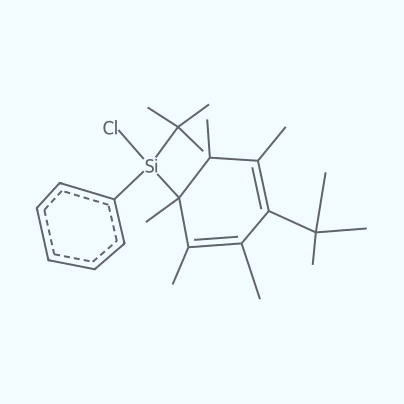 CC1=C(C)C(C)([Si](Cl)(c2ccccc2)C(C)(C)C)C(C)C(C)=C1C(C)(C)C